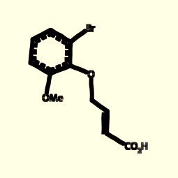 COc1cccc(Br)c1OCC=CC(=O)O